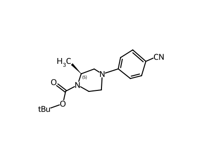 C[C@H]1CN(c2ccc(C#N)cc2)CCN1C(=O)OC(C)(C)C